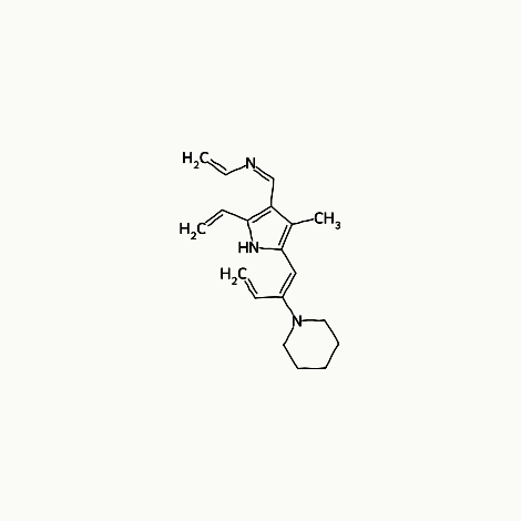 C=C/N=C\c1c(C=C)[nH]c(/C=C(\C=C)N2CCCCC2)c1C